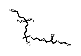 CC(C)(CCCO)OCCCC(C)(F)OCCCOCC(O)COCCO